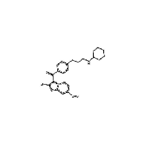 CCc1cc2cc([C]=O)ccn2c1C(=O)c1ccc(CCCNC2CCCCC2)cc1